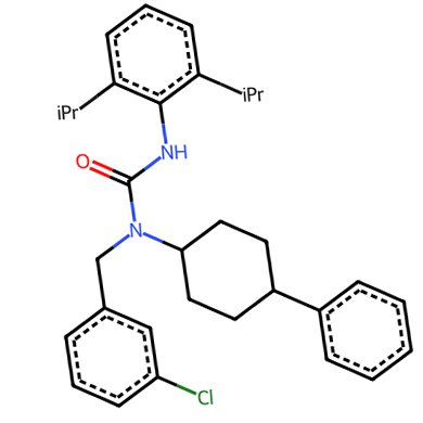 CC(C)c1cccc(C(C)C)c1NC(=O)N(Cc1cccc(Cl)c1)C1CCC(c2ccccc2)CC1